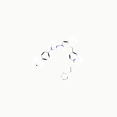 Cc1cc(-c2nc(-c3ccc(S(=O)(=O)C(F)(F)F)cc3)no2)nn1Cc1ccc(NCCN2CCCC2)[n+]([O-])c1